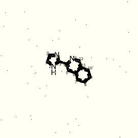 [c]1c[nH]c(-c2cc3ccccc3cn2)n1